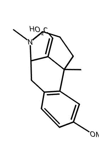 COc1ccc2c(c1)C1(C)CCCN(C)C(C2)/C1=C\C(=O)O